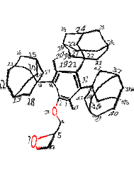 Cc1c(OCC2CO2)c(C23CC4CC(CC(C4)C2)C3)c(C)c(C23CC4CC(CC(C4)C2)C3)c1C12CC3CC(CC(C3)C1)C2